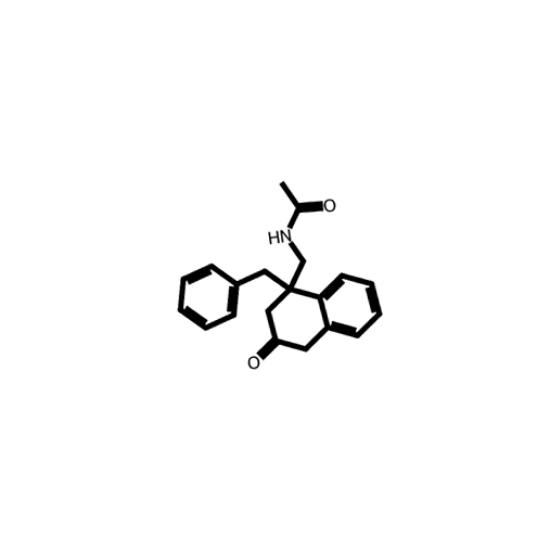 CC(=O)NCC1(Cc2ccccc2)CC(=O)Cc2ccccc21